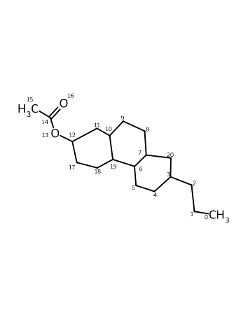 CCCC1CCC2C(CCC3CC(OC(C)=O)CCC32)C1